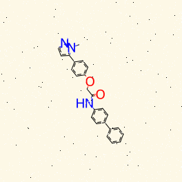 Cn1nccc1-c1ccc(OCC(=O)Nc2ccc(-c3ccccc3)cc2)cc1